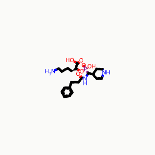 NCCCC[C@H](OP(=O)(O)C(NC(=O)CCc1ccccc1)C1CCNCC1)C(=O)O